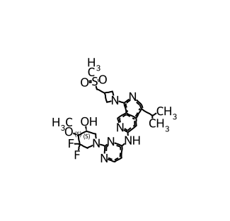 CO[C@H]1[C@@H](O)CN(c2nccc(Nc3cc4c(C(C)C)cnc(N5CC(CS(C)(=O)=O)C5)c4cn3)n2)CC1(F)F